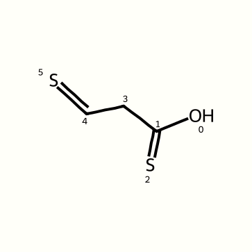 OC(=S)CC=S